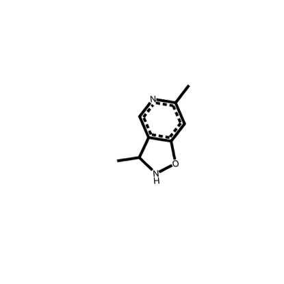 Cc1cc2c(cn1)C(C)NO2